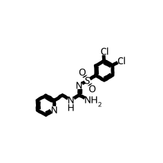 N/C(=N\S(=O)(=O)c1ccc(Cl)c(Cl)c1)NCc1ccccn1